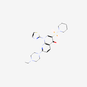 CCN1CCN(c2ccc3c(=O)c(S(=O)(=O)N4CCCCC4)cn(-c4nccs4)c3n2)CC1